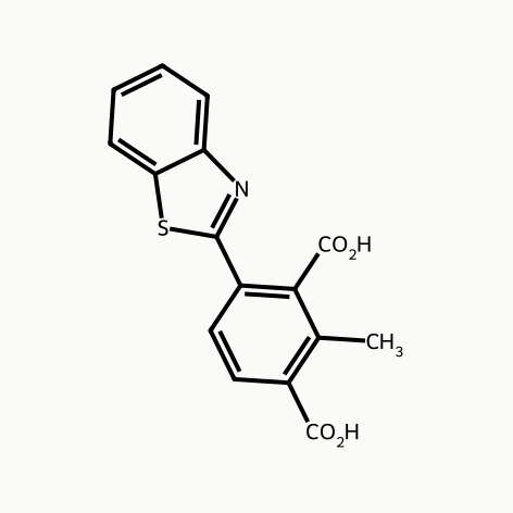 Cc1c(C(=O)O)ccc(-c2nc3ccccc3s2)c1C(=O)O